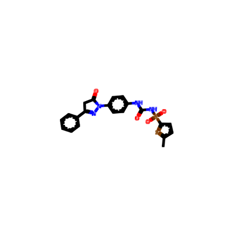 Cc1ccc(S(=O)(=O)NC(=O)Nc2ccc(N3N=C(c4ccccc4)CC3=O)cc2)s1